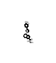 Cc1ccc(-c2ccn([C@H]3CCCc4cc(C(=O)NO)ccc43)n2)cc1